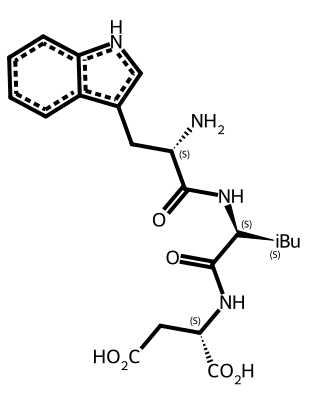 CC[C@H](C)[C@H](NC(=O)[C@@H](N)Cc1c[nH]c2ccccc12)C(=O)N[C@@H](CC(=O)O)C(=O)O